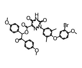 COc1ccc(C(=O)C(OC(=O)c2nn(-c3cc(C)c(Oc4ccc(OC)c(Br)c4)c(C)c3)c(=O)[nH]c2=O)c2ccc(OC)cc2)cc1